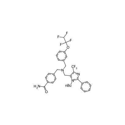 CCCCn1c(-c2ccccc2)nc(C(F)(F)F)c1CN(Cc1ccc(C(N)=O)cc1)Cc1cccc(OC(F)(F)C(F)F)c1